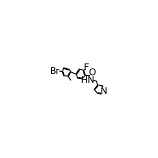 Cc1cc(Br)ccc1-c1ccc(C(=O)NCc2cccnc2)c(F)c1